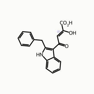 O=C(O)/C(O)=C/C(=O)c1c(Cc2ccccc2)[nH]c2ccccc12